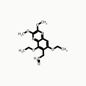 CCOc1cc2nc(OC)c(OC)nc2c(OCC)c1C[PH2]=O